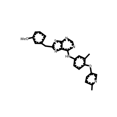 COc1cccc(Cc2nc3c(Nc4ccc(Oc5ccc(C)nc5)c(C)c4)ncnc3s2)c1